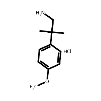 CC(C)(CN)c1ccc(OC(F)(F)F)cc1.Cl